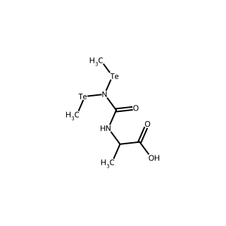 C[Te]N([Te]C)C(=O)NC(C)C(=O)O